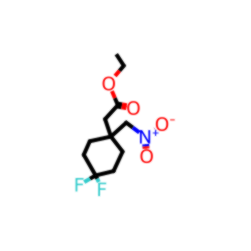 CCOC(=O)CC1(C[N+](=O)[O-])CCC(F)(F)CC1